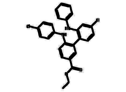 CCOC(=O)c1c[c]c(Nc2ccc(Cl)cc2)c(-c2ccc(Cl)cc2Nc2ccccc2)c1